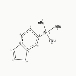 CCC[CH2][Sn]([CH2]CCC)([CH2]CCC)[c]1ccc2c(c1)CC=C2